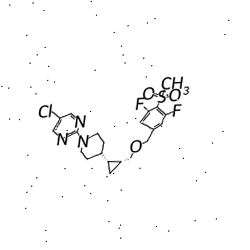 CS(=O)(=O)c1c(F)cc(COC[C@@H]2C[C@@H]2C2CCN(c3ncc(Cl)cn3)CC2)cc1F